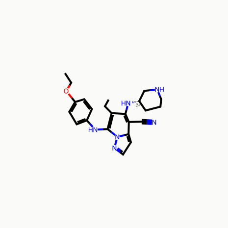 CCOc1ccc(Nc2c(CC)c(N[C@H]3CCCNC3)c(C#N)c3ccnn23)cc1